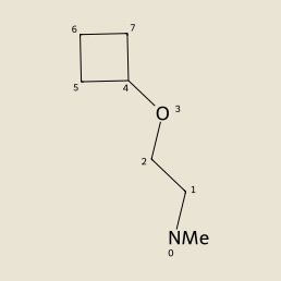 CNCCOC1CCC1